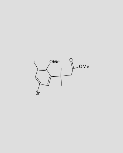 COC(=O)CC(C)(C)c1cc(Br)cc(I)c1OC